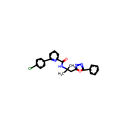 CC(C)(Cc1nnc(-c2ccccc2)o1)NC(=O)c1cccc(-c2ccc(Cl)cc2)n1